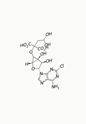 Nc1nc(Cl)nc2c1ncn2[C@@H]1O[C@@H]2C(OC(CC(O)O)(C(=O)O)C(=O)O)[C@]2(O)[C@H]1O